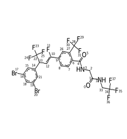 O=C(CNC(=O)c1ccc(/C(F)=C/C(c2cc(Br)cc(Br)c2)C(F)(F)F)cc1C(F)(F)F)NCC(F)(F)F